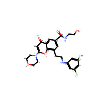 O=C(NCCO)c1cc(CCNc2cc(F)cc(F)c2)c2oc(N3CCOCC3)cc(=O)c2c1